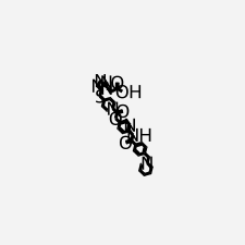 O=C(O)Cn1nnnc1SC1CCN(C(=O)Oc2ccc(NC(=O)c3ccc(CN4CCCCC4)cc3)nc2)CC1